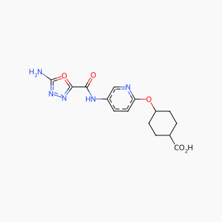 Nc1nnc(C(=O)Nc2ccc(OC3CCC(C(=O)O)CC3)nc2)o1